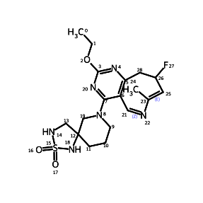 CCOc1nc2c(c(N3CCCC4(CNS(=O)(=O)N4)C3)n1)/C=N\C(C)=C\C(F)C2